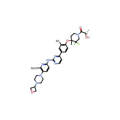 COc1nc(Nc2nccc(-c3ccc(OC4(C)CCN(C(=O)[C@H](C)O)CC4(F)F)c(C#N)c3)n2)ccc1N1CCN(C2COC2)CC1